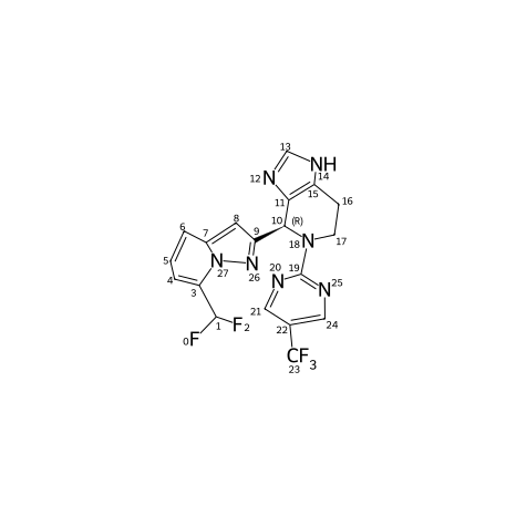 FC(F)c1cccc2cc([C@H]3c4nc[nH]c4CCN3c3ncc(C(F)(F)F)cn3)nn12